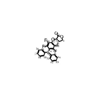 O=C1OCCC1Oc1c(F)c(F)c([S+](c2ccccc2)c2ccccc2)c(F)c1F